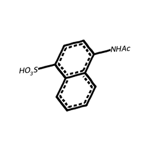 CC(=O)Nc1ccc(S(=O)(=O)O)c2ccccc12